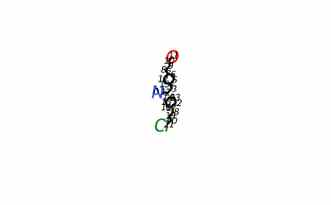 N#CC(CC1CCC(CCC=O)CC1)[C@H]1CC[C@H](CCCCl)CC1